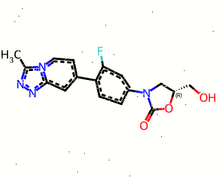 Cc1nnc2cc(-c3ccc(N4C[C@H](CO)OC4=O)cc3F)ccn12